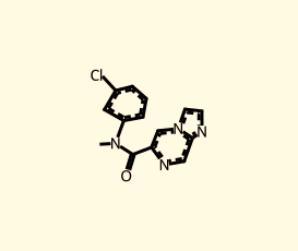 CN(C(=O)c1cn2ccnc2cn1)c1cccc(Cl)c1